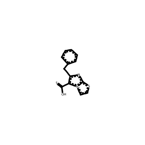 OC(=S)c1c(Cc2ccccc2)nc2sccn12